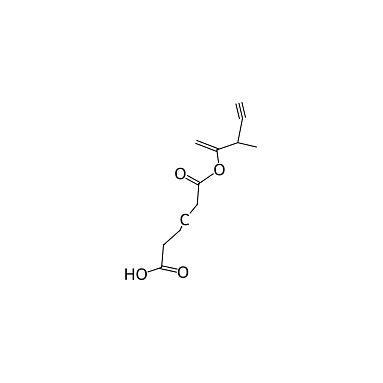 C#CC(C)C(=C)OC(=O)CCCCC(=O)O